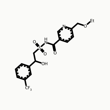 CCOCc1ccc(C(=O)NS(=O)(=O)CC(O)c2cccc(C(F)(F)F)c2)cn1